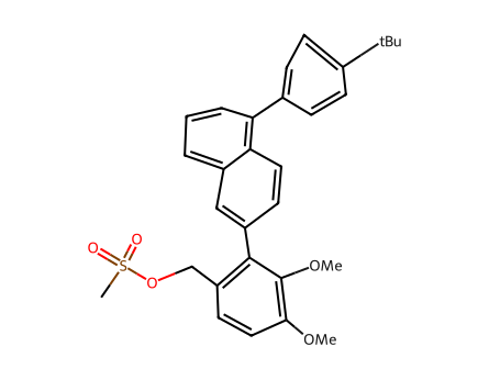 COc1ccc(COS(C)(=O)=O)c(-c2ccc3c(-c4ccc(C(C)(C)C)cc4)cccc3c2)c1OC